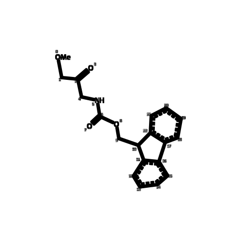 COCC(=O)CNC(=O)OCC1c2ccccc2-c2ccccc21